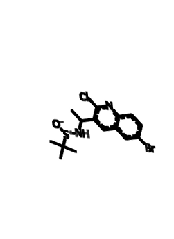 CC(N[S+]([O-])C(C)(C)C)c1cc2cc(Br)ccc2nc1Cl